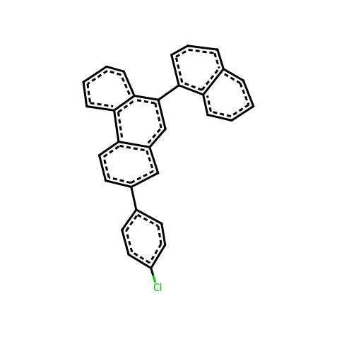 Clc1ccc(-c2ccc3c(c2)cc(-c2cccc4ccccc24)c2ccccc23)cc1